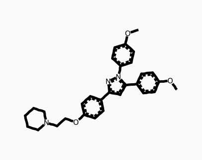 COc1ccc(-c2cc(-c3ccc(OCCN4CCCCC4)cc3)nn2-c2ccc(OC)cc2)cc1